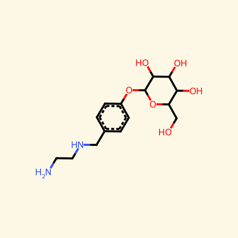 NCCNCc1ccc(OC2OC(CO)C(O)C(O)C2O)cc1